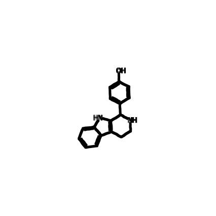 Oc1ccc(C2NCCc3c2[nH]c2ccccc32)cc1